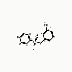 Nc1cccc(CS(=O)(=O)c2ccccc2)c1